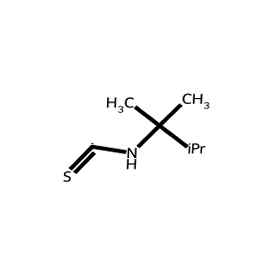 CC(C)C(C)(C)N[C]=S